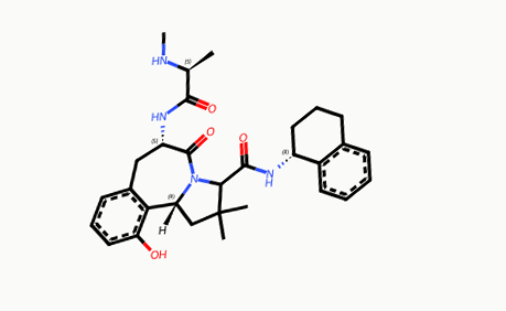 CN[C@@H](C)C(=O)N[C@H]1Cc2cccc(O)c2[C@H]2CC(C)(C)C(C(=O)N[C@@H]3CCCc4ccccc43)N2C1=O